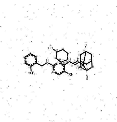 N#Cc1cnc(NCc2ccccc2C(F)(F)F)nc1NC[C@]12CC3C[C@H](C1)[C@@H](NC[C@H]1CC[C@H](O)CC1)[C@@H](C3)C2